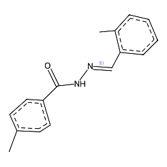 Cc1ccc(C(=O)N/N=C/c2ccccc2C)cc1